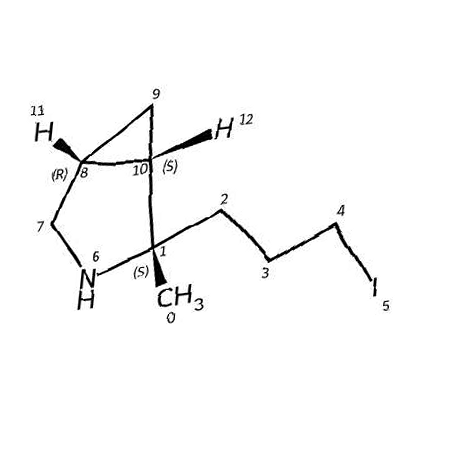 C[C@@]1(CCCI)NC[C@@H]2C[C@@H]21